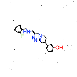 N=N/C(=C\NCc1ccccc1F)CN1CCC(c2cccc(O)c2)CC1